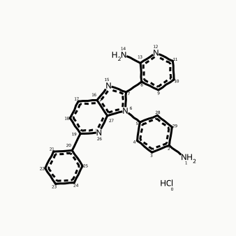 Cl.Nc1ccc(-n2c(-c3cccnc3N)nc3ccc(-c4ccccc4)nc32)cc1